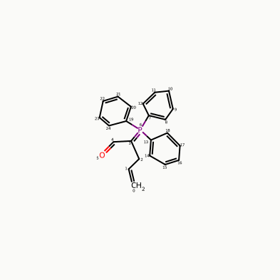 C=CCC(C=O)=P(c1ccccc1)(c1ccccc1)c1ccccc1